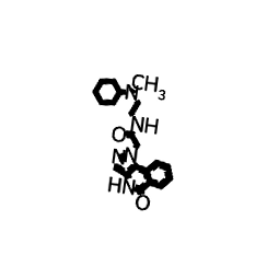 CN(CCNC(=O)Cn1ncc2[nH]c(=O)c3ccccc3c21)C1CCCCC1